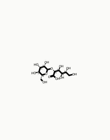 O=C(O)[C@H](OC1O[C@H](CO)[C@@H](O)[C@H](O)[C@@H]1O)[C@@H](O)[C@H](O)[C@H](O)CO